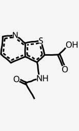 CC(=O)Nc1c(C(=O)O)sc2ncccc12